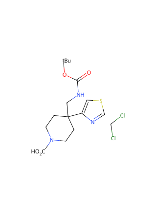 CC(C)(C)OC(=O)NCC1(c2cscn2)CCN(C(=O)O)CC1.ClCCl